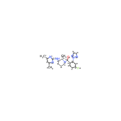 Cc1cc(C)nc(N[C@@H]2CCCN(C(=O)c3ccc(F)cc3-n3nccn3)[C@H]2C)n1